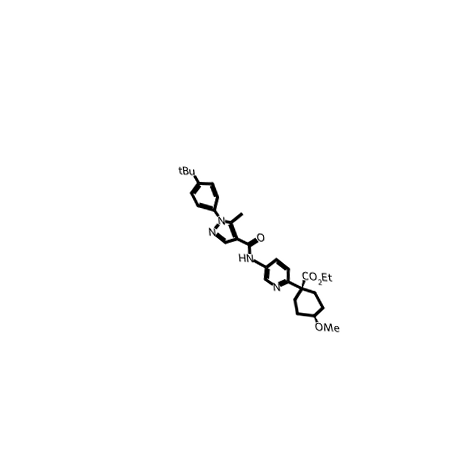 CCOC(=O)[C@]1(c2ccc(NC(=O)c3cnn(-c4ccc(C(C)(C)C)cc4)c3C)cn2)CC[C@H](OC)CC1